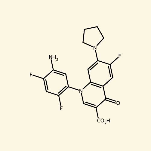 Nc1cc(-n2cc(C(=O)O)c(=O)c3cc(F)c(N4CCCC4)cc32)c(F)cc1F